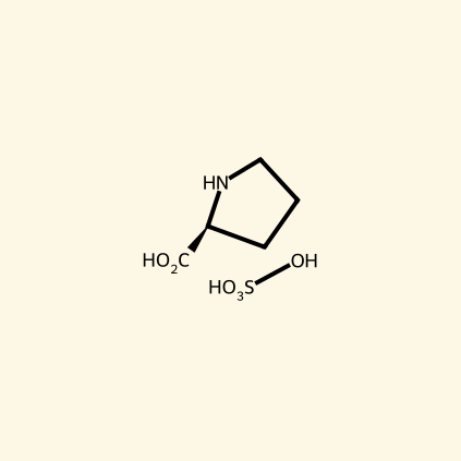 O=C(O)[C@@H]1CCCN1.O=S(=O)(O)O